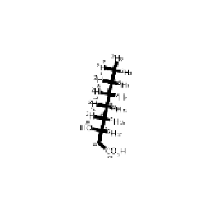 [2H]C([2H])([2H])C([2H])([2H])C([2H])([2H])C([2H])([2H])C([2H])([2H])C([2H])(O)CC(=O)O